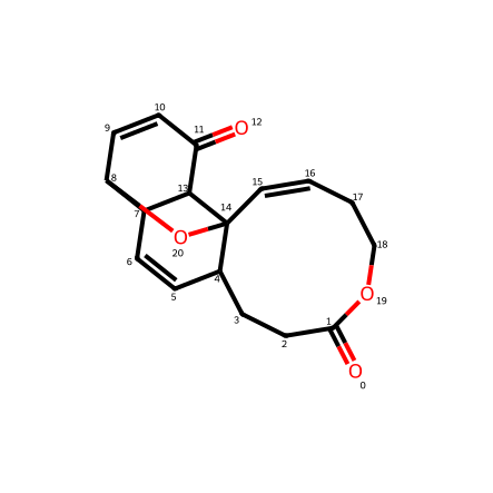 O=C1CCC2C=CC3C4C=CC(=O)C3C2(C=CCCO1)O4